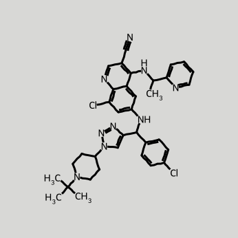 CC(Nc1c(C#N)cnc2c(Cl)cc(NC(c3ccc(Cl)cc3)c3cn(C4CCN(C(C)(C)C)CC4)nn3)cc12)c1ccccn1